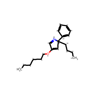 CCCCCCOC1=CC(CCCC)(c2cc[c]cc2)N=C1